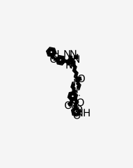 Nc1ncnc2c1c(-c1ccc(Oc3ccccc3)cc1)nn2CCCCC(=O)N1CCN(c2[c]c3c(cc2)C(=O)N(C2CCONO2)C3=O)CC1